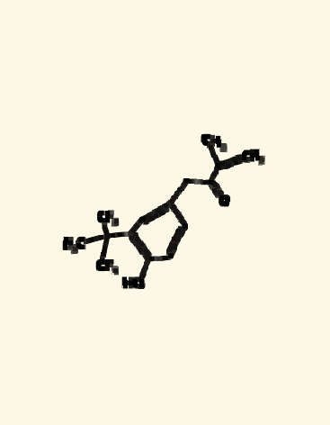 C=C(C)C(=O)Cc1ccc(O)c(C(C)(C(F)(F)F)C(F)(F)F)c1